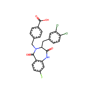 O=C(O)c1ccc(CN2C(=O)c3ccc(F)cc3NC(=O)C2Cc2ccc(Cl)c(Cl)c2)cc1